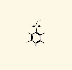 [NH]S(=O)(=O)c1c(F)c(F)c(F)c(F)c1F